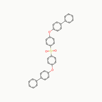 O=S(=O)(c1ccc(Oc2ccc(-c3ccccc3)cc2)cc1)c1ccc(Oc2ccc(-c3ccccc3)cc2)cc1